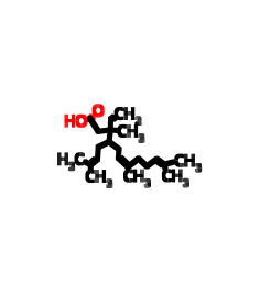 C=CC(C)(CC(=O)O)C(CC=C(C)C)CC=C(C)CCC=C(C)C